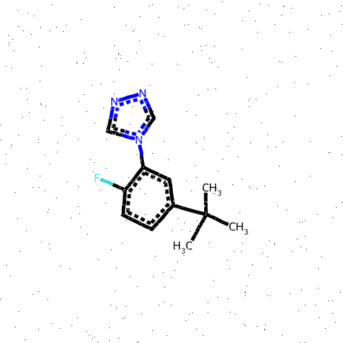 CC(C)(C)c1ccc(F)c(-n2cnnc2)c1